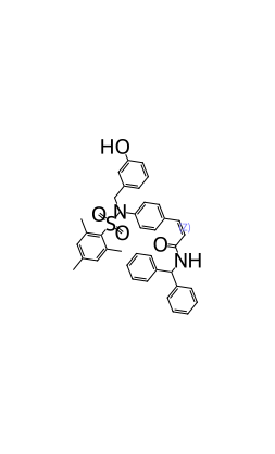 Cc1cc(C)c(S(=O)(=O)N(Cc2cccc(O)c2)c2ccc(/C=C\C(=O)NC(c3ccccc3)c3ccccc3)cc2)c(C)c1